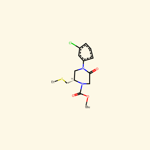 CCSC[C@@H]1CN(c2cccc(Cl)c2)C(=O)CN1C(=O)OC(C)(C)C